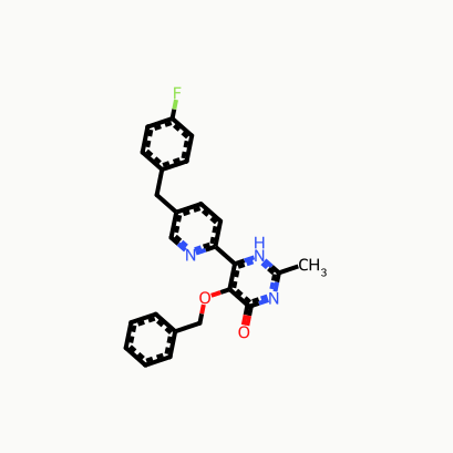 Cc1nc(=O)c(OCc2ccccc2)c(-c2ccc(Cc3ccc(F)cc3)cn2)[nH]1